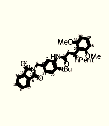 CCCCCC(CC(=O)Nc1cc(CN2C(=O)c3ccccc3C2=O)ccc1C(C)(C)C)c1c(OC)cccc1OC